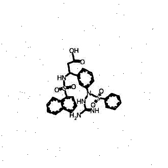 N=C(N)NN(c1cccc(C(CC(=O)O)NS(=O)(=O)c2cccc3ccccc23)c1)S(=O)(=O)c1ccccc1